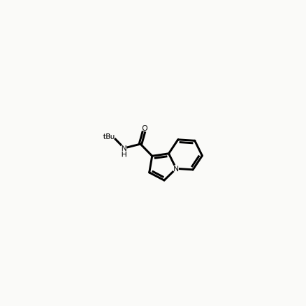 CC(C)(C)NC(=O)c1ccn2ccccc12